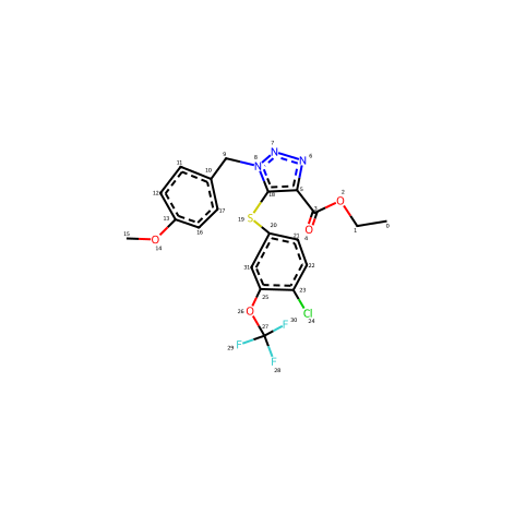 CCOC(=O)c1nnn(Cc2ccc(OC)cc2)c1Sc1ccc(Cl)c(OC(F)(F)F)c1